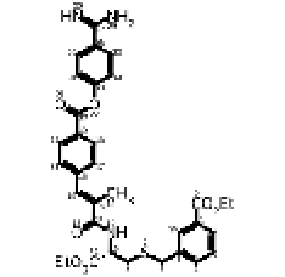 CCOC(=O)c1cccc(CSC[C@@H](NC(=O)/C(C)=C/c2ccc(C(=O)Oc3ccc(C(=N)N)cc3)cc2)C(=O)OCC)c1